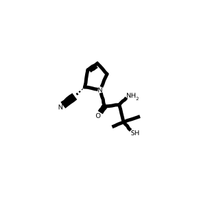 CC(C)(S)C(N)C(=O)N1CC=C[C@H]1C#N